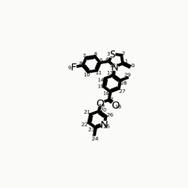 C=C1CSC(c2ccc(F)cc2)N1c1ccc(C(=O)Oc2ccc(C)nc2)cc1C